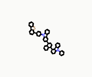 c1ccc(-n2c3ccccc3c3c(-c4ccc(-c5ccc6c(c5)c5ccccc5n6-c5ccc(-c6cccc7c6sc6ccccc67)cc5)c5ccccc45)cccc32)cc1